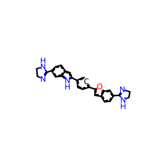 c1cc2cc(-c3ccc(-c4cc5ccc(C6=NCCN6)cc5o4)cc3)[nH]c2cc1C1=NCCN1